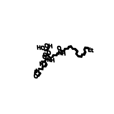 CC/C=C\C/C=C\C/C=C\C/C=C\C/C=C\CCCC(=O)NCCCC[C@H](NC(=O)c1ccc(CCN2CCOCC2)nc1)C(=O)OC(CO)CO